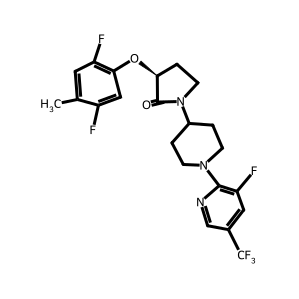 Cc1cc(F)c(O[C@H]2CCN(C3CCN(c4ncc(C(F)(F)F)cc4F)CC3)C2=O)cc1F